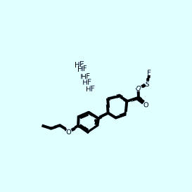 CCCOc1ccc(C2CCC(C(=O)OSF)CC2)cc1.F.F.F.F.F